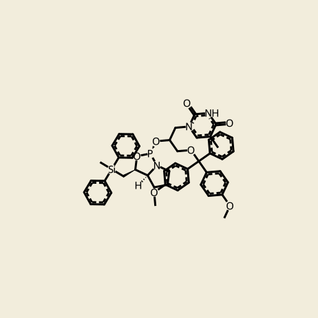 COc1ccc(C(OCC(Cn2cc(C)c(=O)[nH]c2=O)O[P@@]2O[C@H](C[Si](C)(c3ccccc3)c3ccccc3)[C@@H]3CCCN32)(c2ccccc2)c2ccc(OC)cc2)cc1